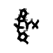 Cc1ccc(CS(=O)(=O)c2nc3cscc3n2C(=O)OC(C)(C)C)nc1